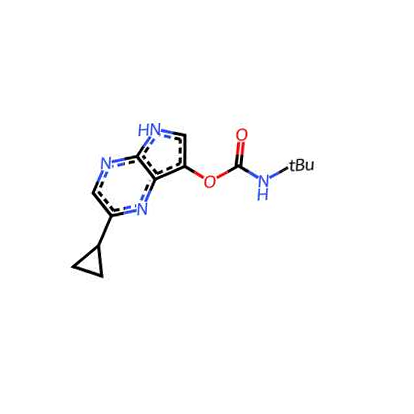 CC(C)(C)NC(=O)Oc1c[nH]c2ncc(C3CC3)nc12